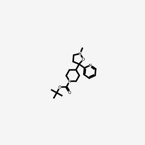 CN1CCC(c2ccccn2)(C2CCN(C(=O)OC(C)(C)C)CC2)O1